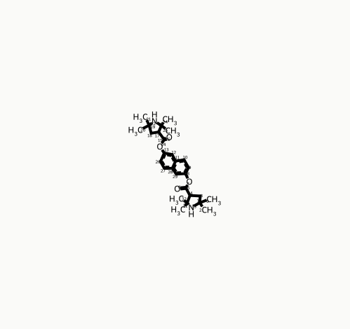 CC1(C)CC(C(=O)Oc2ccc3cc(OC(=O)C4CC(C)(C)NC4(C)C)ccc3c2)C(C)(C)N1